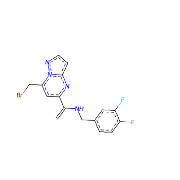 C=C(NCc1ccc(F)c(F)c1)c1cc(CBr)n2nccc2n1